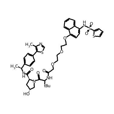 Cc1ncsc1-c1ccc([C@H](C)NC(=O)[C@@H]2C[C@@H](O)CN2C(=O)C(NC(=O)COCCOCCOc2ccc(NS(=O)(=O)c3cccs3)c3ccccc23)C(C)(C)C)cc1